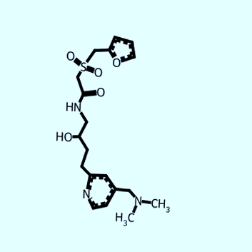 CN(C)Cc1ccnc(CCC(O)CNC(=O)CS(=O)(=O)Cc2ccco2)c1